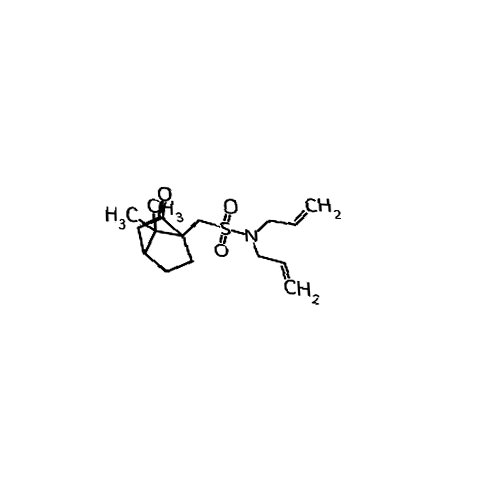 C=CCN(CC=C)S(=O)(=O)CC12CCC(CC1=O)C2(C)C